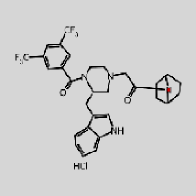 Cl.O=C(CN1CCN(C(=O)c2cc(C(F)(F)F)cc(C(F)(F)F)c2)[C@H](Cc2c[nH]c3ccccc23)C1)N1CC2CCC(CC2)C1